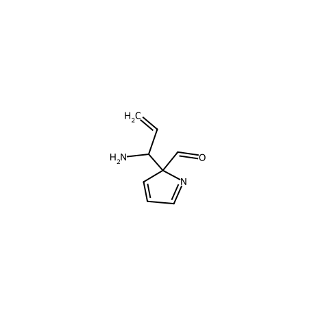 C=CC(N)C1(C=O)C=CC=N1